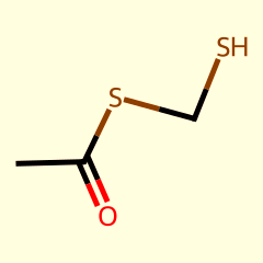 CC(=O)SCS